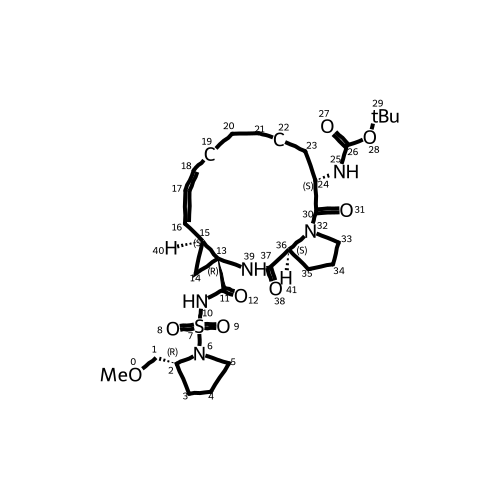 COC[C@H]1CCCN1S(=O)(=O)NC(=O)[C@@]12C[C@H]1C=C=CCCCCC[C@H](NC(=O)OC(C)(C)C)C(=O)N1CCC[C@H]1C(=O)N2